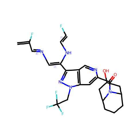 C=C(F)/C=N/C=C(\N/C=C/F)c1nn(CC(F)(F)F)c2cc(C(=O)N3C4CCCC3CC(O)C4)ncc12